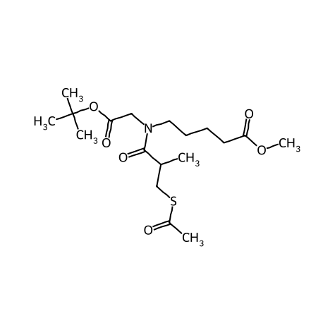 COC(=O)CCCCN(CC(=O)OC(C)(C)C)C(=O)C(C)CSC(C)=O